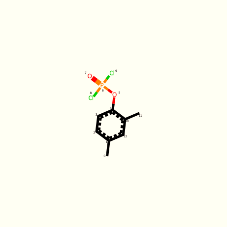 Cc1ccc(OP(=O)(Cl)Cl)c(C)c1